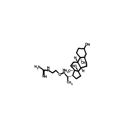 CC(NOCCNC(=N)N)[C@H]1CC[C@@]2(O)[C@@H]3CCC4CC(O)CC[C@]4(C)[C@H]3CC[C@]12C